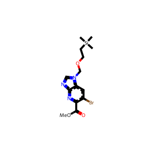 COC(=O)c1nc2ncn(COCC[Si](C)(C)C)c2cc1Br